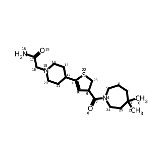 CC1(C)CCCN(C(=O)C2C=C(C3CCN(CC(N)=O)CC3)SC2)CC1